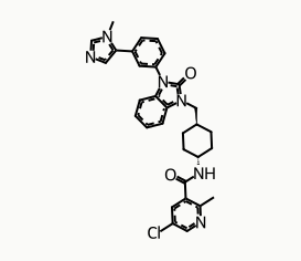 Cc1ncc(Cl)cc1C(=O)N[C@H]1CC[C@H](Cn2c(=O)n(-c3cccc(-c4cncn4C)c3)c3ccccc32)CC1